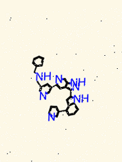 c1ccc(CNCc2cncc(-c3cc4c(-c5cc6c(-c7cccnc7)cccc6[nH]5)n[nH]c4cn3)c2)cc1